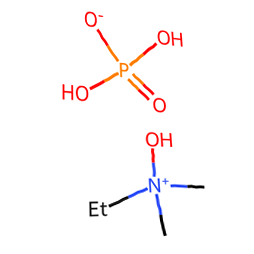 CC[N+](C)(C)O.O=P([O-])(O)O